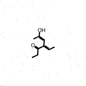 C/C=C(\C=C(/C)O)C(=O)CC